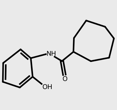 O=C(Nc1ccccc1O)C1CCCCCC1